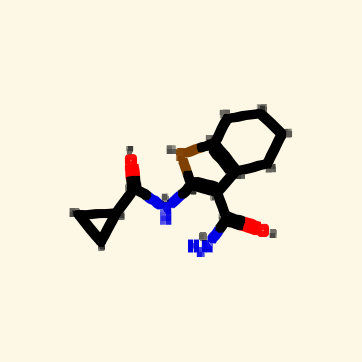 NC(=O)c1c(NC(=O)C2CC2)sc2c1CCCC2